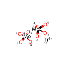 [O]=[Mo](=[O])([O-])[O-].[O]=[Mo](=[O])([O-])[O-].[Ti+4]